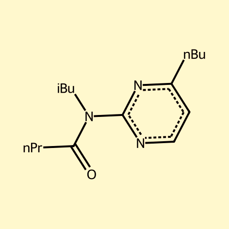 CCCCc1ccnc(N(C(=O)CCC)C(C)CC)n1